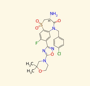 CC1(C)CN(c2nc(-c3cc4c(cc3F)S(=O)(=O)C[C@H](N)C(=O)N4Cc3ccc(Cl)cc3)no2)CCO1